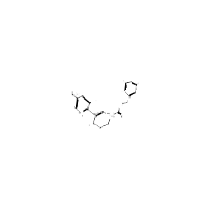 O=C(OCc1ccccc1)N1C=C(c2ccc(Cl)cn2)CCC1